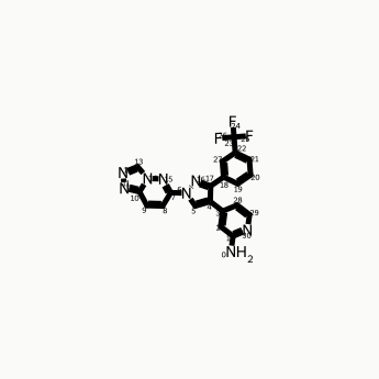 Nc1cc(-c2cn(-c3ccc4nncn4n3)nc2-c2cccc(C(F)(F)F)c2)ccn1